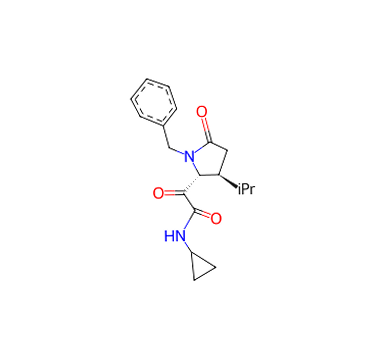 CC(C)[C@@H]1CC(=O)N(Cc2ccccc2)[C@H]1C(=O)C(=O)NC1CC1